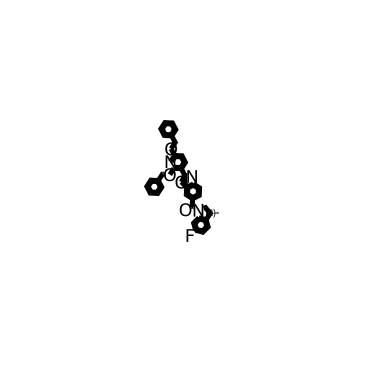 C[C@H]1CN(C(=O)c2ccc3nc(-c4ccc(OCc5ccccc5)nc4OCc4ccccc4)oc3c2)c2cc(F)ccc21